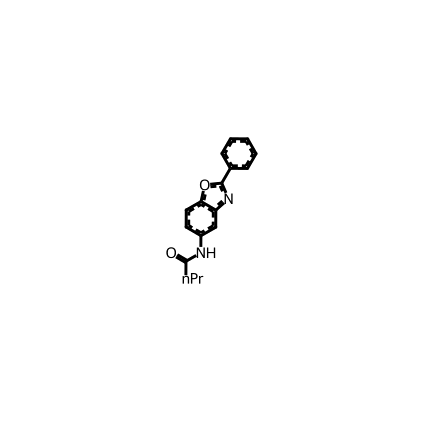 CCCC(=O)Nc1ccc2oc(-c3ccccc3)nc2c1